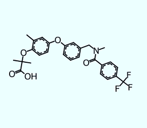 Cc1cc(Oc2cccc(CN(C)C(=O)c3ccc(C(F)(F)F)cc3)c2)ccc1OC(C)(C)C(=O)O